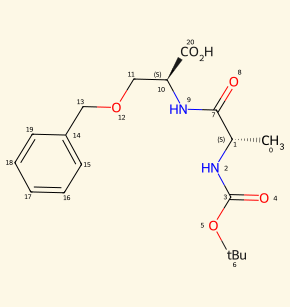 C[C@H](NC(=O)OC(C)(C)C)C(=O)N[C@@H](COCc1ccccc1)C(=O)O